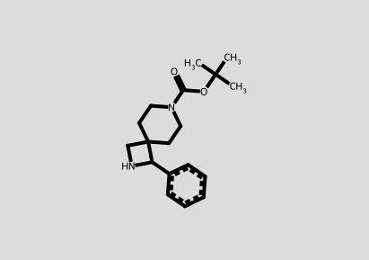 CC(C)(C)OC(=O)N1CCC2(CC1)CNC2c1ccccc1